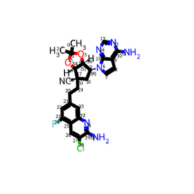 CC1(C)O[C@H]2[C@H](n3ccc4c(N)ncnc43)C[C@](C#N)(CCc3cc(F)c4cc(Cl)c(N)nc4c3)[C@H]2O1